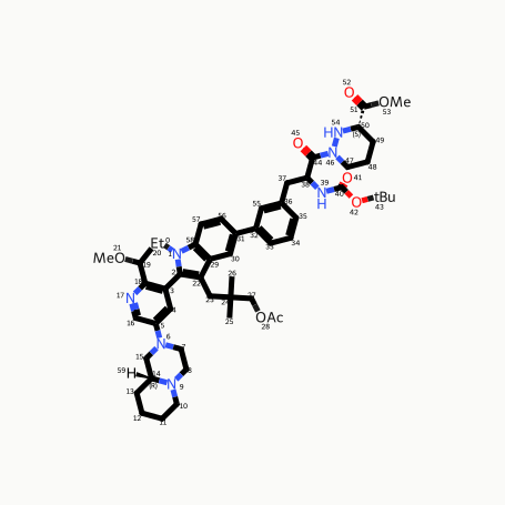 CCn1c(-c2cc(N3CCN4CCCC[C@@H]4C3)cnc2C(C)OC)c(CC(C)(C)COC(C)=O)c2cc(-c3cccc(CC(NC(=O)OC(C)(C)C)C(=O)N4CCC[C@@H](C(=O)OC)N4)c3)ccc21